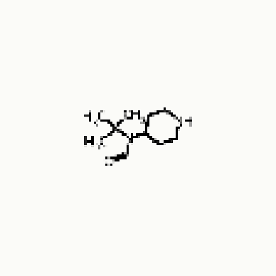 CC(C)(C)N(C=O)C1CCNCC1